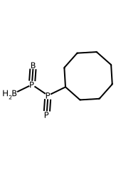 B#P(B)P(#P)C1CCCCCCC1